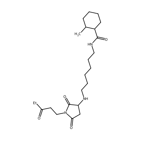 CCC(=O)CCN1C(=O)CC(NCCCCCCNC(=O)C2CCCCC2C)C1=O